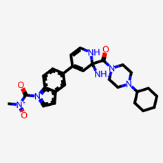 C[N+](=O)C(=O)n1ccc2cc(C3=CC(N)(C(=O)N4CCN(C5CCCCC5)CC4)NC=C3)ccc21